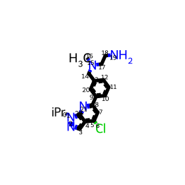 CC(C)n1ncc2c(Cl)cc(-c3cccc(CN(C)CCN)c3)nc21